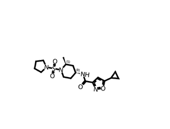 C[C@H]1C[C@H](NC(=O)c2cc(C3CC3)on2)CCN1S(=O)(=O)N1CCCC1